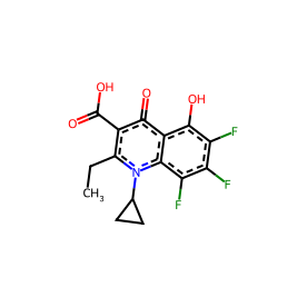 CCc1c(C(=O)O)c(=O)c2c(O)c(F)c(F)c(F)c2n1C1CC1